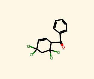 O=C(c1ccccc1)C1C=CC(Cl)(Cl)CC1(Cl)Cl